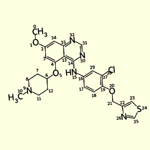 COc1cc(OC2CCN(C)CC2)c2c(Nc3ccc(OCc4cscn4)c(Cl)c3)ncnc2c1